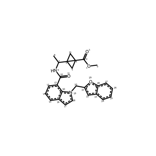 COC(=O)C12CC1(C(C)NC(=O)c1cccc3ccn(Cc4cc5ccccc5o4)c13)C2